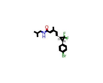 CC(C=C[C@H]1[C@H](c2ccc(Br)cc2)C1(F)F)=CC(=O)NCC(C)C